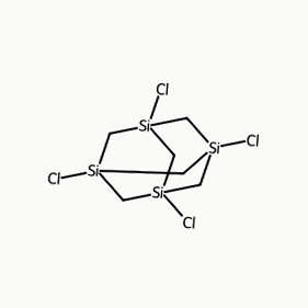 Cl[Si]12C[Si]3(Cl)C[Si](Cl)(C1)C[Si](Cl)(C2)C3